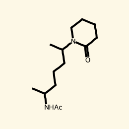 CC(=O)NC(C)CCCC(C)N1CCCCC1=O